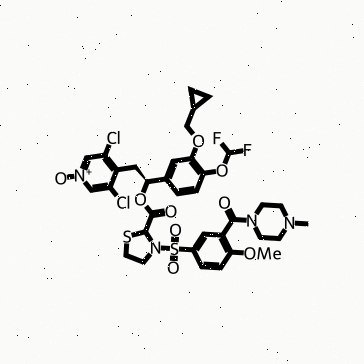 COc1ccc(S(=O)(=O)N2CCSC2C(=O)O[C@@H](Cc2c(Cl)c[n+]([O-])cc2Cl)c2ccc(OC(F)F)c(OCC3CC3)c2)cc1C(=O)N1CCN(C)CC1